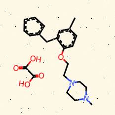 Cc1ccc(OCCN2CCN(C)CC2)c(Cc2ccccc2)c1.O=C(O)C(=O)O